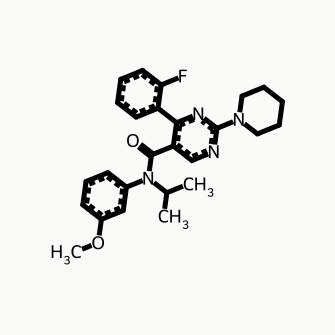 COc1cccc(N(C(=O)c2cnc(N3CCCCC3)nc2-c2ccccc2F)C(C)C)c1